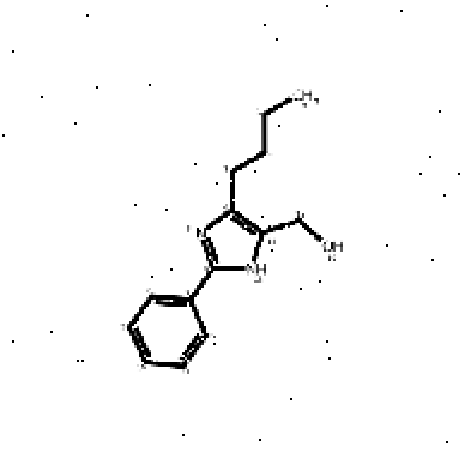 CCCCc1nc(-c2ccccc2)[nH]c1CO